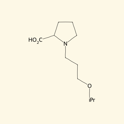 CC(C)OCCCN1CCCC1C(=O)O